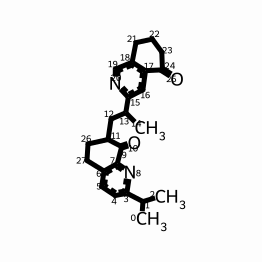 CC(C)c1ccc2c(n1)C(=O)C(CC(C)c1cc3c(cn1)CCCC3=O)CC2